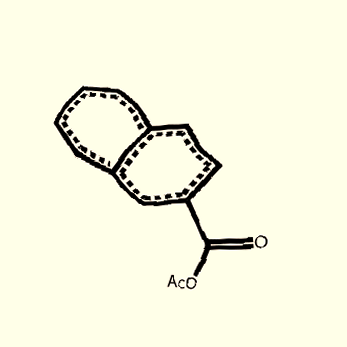 CC(=O)OC(=O)c1ccc2ccccc2c1